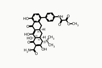 COC(=O)C(=O)Nc1ccc(-c2ccc(O)c3c2C[C@H]2C[C@H]4[C@H](N(C)C)C(O)=C(C(N)=O)C(=O)[C@@]4(O)C(O)=C2C3=O)cc1